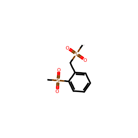 [CH2]S(=O)(=O)Cc1ccccc1S(C)(=O)=O